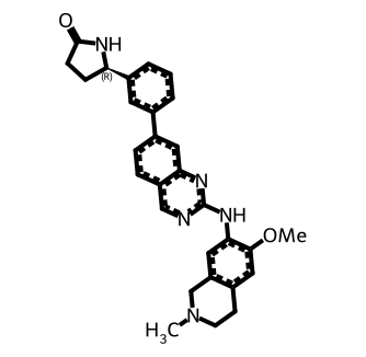 COc1cc2c(cc1Nc1ncc3ccc(-c4cccc([C@H]5CCC(=O)N5)c4)cc3n1)CN(C)CC2